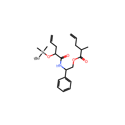 C=CCC(C)C(=O)OCC(NC(=O)C(CC=C)O[Si](C)(C)C(C)(C)C)c1ccccc1